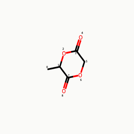 CC1OC(=O)COC1=O